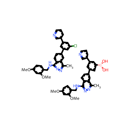 COc1ccc(CNc2nnc(C)c3cc(-c4cc(B(O)O)cc(-c5cccnc5)c4)ccc23)c(OC)c1.COc1ccc(CNc2nnc(C)c3cc(-c4cc(Cl)cc(-c5cccnc5)c4)ccc23)c(OC)c1